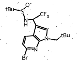 CC(C)(C)Cn1cc(C(N[S+]([O-])C(C)(C)C)C(F)(F)F)c2ccc(Br)nc21